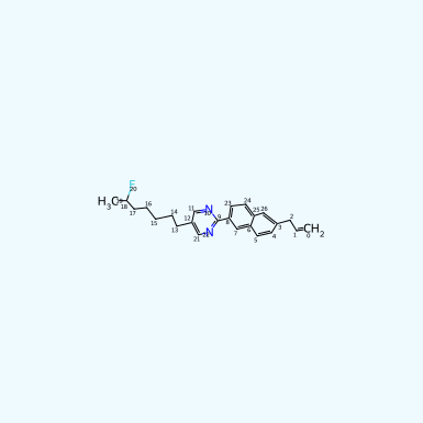 C=CCc1ccc2cc(-c3ncc(CCCCCC(C)F)cn3)ccc2c1